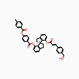 Cc1ccc(C(=O)Oc2ccc(C(=O)Oc3cccc4c3[C@]3(CCc5cccc(OC(=O)/C=C/c6ccc(CO)cc6)c53)CC4)cc2)cc1